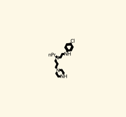 CCCN(CCCN1CCNCC1)CCNc1ccc(Cl)cc1